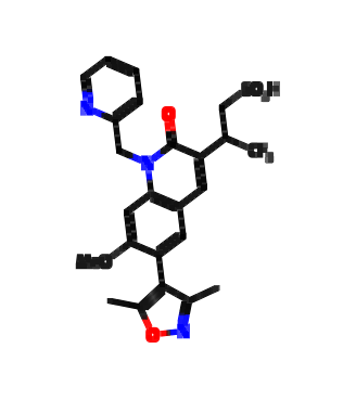 COc1cc2c(cc1-c1c(C)noc1C)cc(C(CS(=O)(=O)O)C(F)(F)F)c(=O)n2Cc1ccccn1